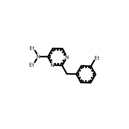 CCc1cccc(Cc2nccc(N(CC)CC)n2)c1